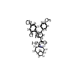 COc1ccc(C2CC(C(=O)N/C3=C/CC4CCC(CC3)C4)=NN2c2ccc(Cl)cc2Cl)cc1